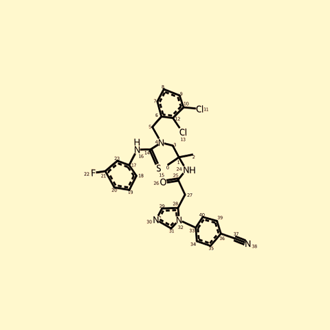 CC(C)(CN(Cc1cccc(Cl)c1Cl)C(=S)Nc1cccc(F)c1)NC(=O)Cc1cncn1-c1ccc(C#N)cc1